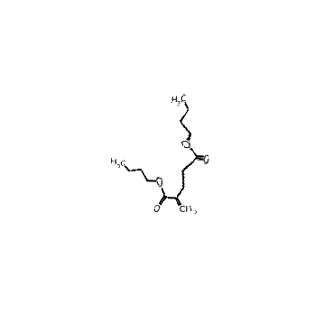 C=C(CCC(=O)OCCCC)C(=O)OCCCC